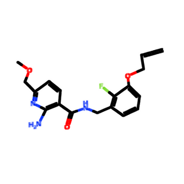 C=CCOc1cccc(CNC(=O)c2ccc(COC)nc2N)c1F